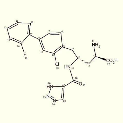 N[C@H](C[C@@H](Cc1ccc(-c2ccccc2F)cc1Cl)NC(=O)c1cnn[nH]1)C(=O)O